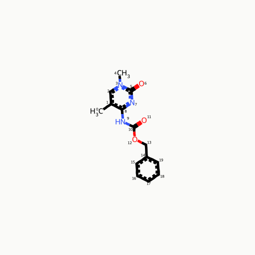 Cc1cn(C)c(=O)nc1NC(=O)OCc1ccccc1